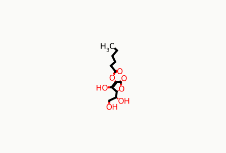 CCCCCC(=O)OC1=C(O)[C@@H]([C@@H](O)CO)OC1=O